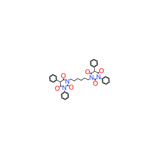 O=C1C(c2ccccc2)C(=O)N(c2ccccc2)C(=O)N1CCCCCCN1C(=O)C(c2ccccc2)C(=O)N(c2ccccc2)C1=O